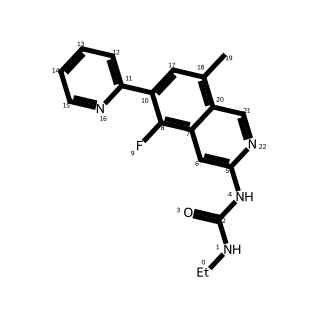 CCNC(=O)Nc1cc2c(F)c(-c3ccccn3)cc(C)c2cn1